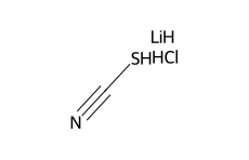 Cl.N#CS.[LiH]